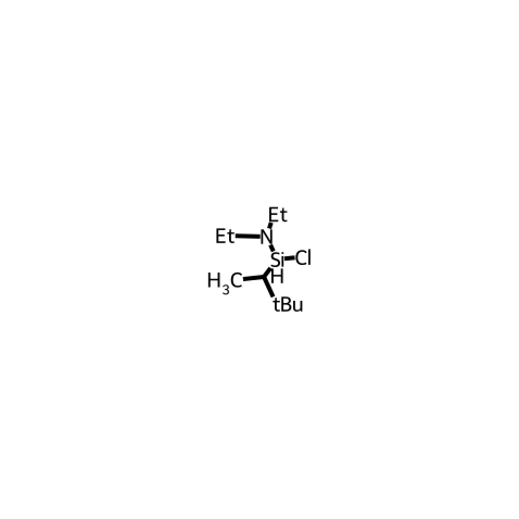 CCN(CC)[SiH](Cl)C(C)C(C)(C)C